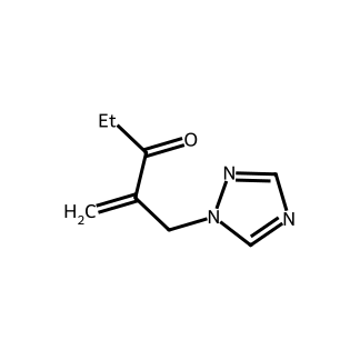 C=C(Cn1cncn1)C(=O)CC